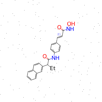 CCC(C(=O)Nc1ccc(/C=C/C(=O)NO)cc1)c1ccc2ccccc2c1